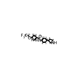 O=C(Nc1ccc(C2CCNC2)cc1)c1ccc(OCC(F)(F)F)nc1